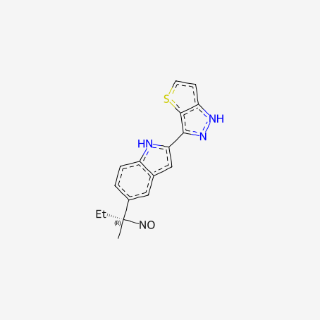 CC[C@@](C)(N=O)c1ccc2[nH]c(-c3n[nH]c4ccsc34)cc2c1